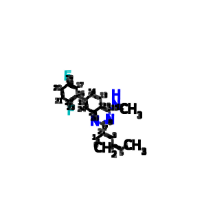 C=C/C(=C\C=C/C)c1nc(NC)c2ccc(-c3cc(F)ccc3F)cc2n1